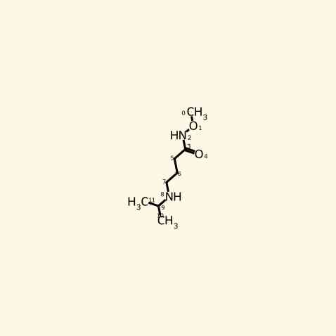 CONC(=O)CCCNC(C)C